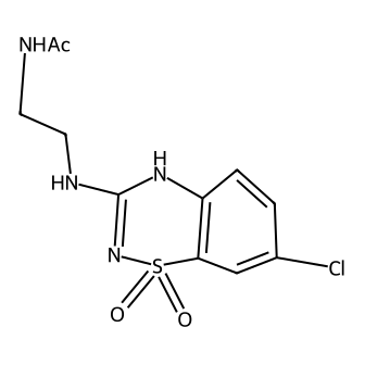 CC(=O)NCCNC1=NS(=O)(=O)c2cc(Cl)ccc2N1